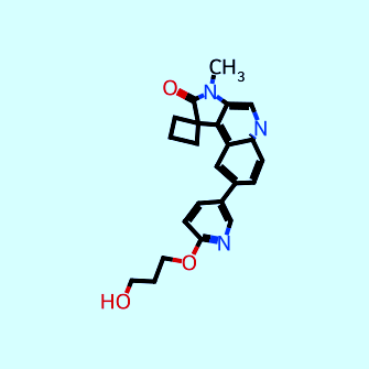 CN1C(=O)C2(CCC2)c2c1cnc1ccc(-c3ccc(OCCCO)nc3)cc21